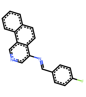 Fc1ccc(C=Nc2cncc3c2ccc2ccccc23)cc1